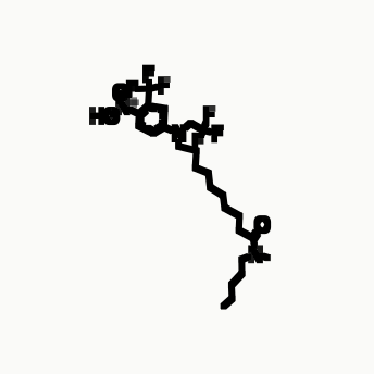 CCCCCN(C)C(=O)CCCCCCCCCN(CC(F)(F)F)c1ccc([N+](=O)O)c(C(F)(F)F)c1